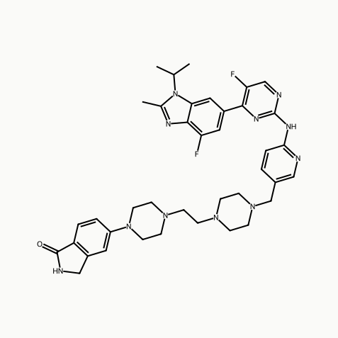 Cc1nc2c(F)cc(-c3nc(Nc4ccc(CN5CCN(CCN6CCN(c7ccc8c(c7)CNC8=O)CC6)CC5)cn4)ncc3F)cc2n1C(C)C